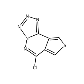 Clc1nn2nnnc2c2cscc12